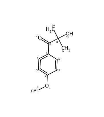 CCCOC1=C=C=C(C(=O)C(C)(C)O)C=C1